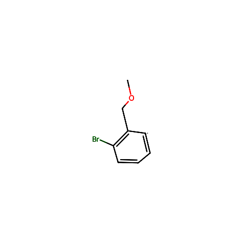 COCc1[c]cccc1Br